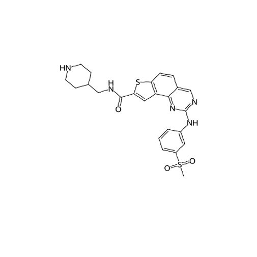 CS(=O)(=O)c1cccc(Nc2ncc3ccc4sc(C(=O)NCC5CCNCC5)cc4c3n2)c1